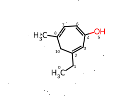 CCC1=CC(O)=CC=C(C)C1